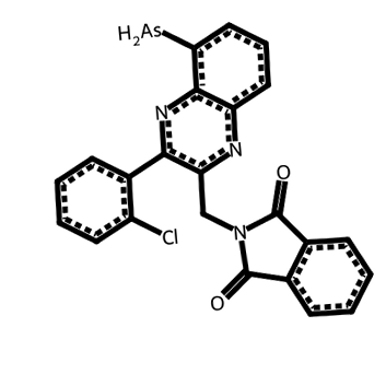 O=C1c2ccccc2C(=O)N1Cc1nc2cccc([AsH2])c2nc1-c1ccccc1Cl